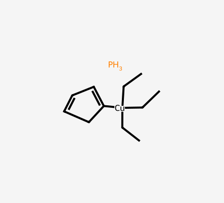 C[CH2][Cu]([CH2]C)([CH2]C)[C]1=CC=CC1.P